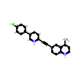 Cc1c[c]nc2ccc(C#Cc3ccc(-c4ccc(Cl)cc4)cn3)cc12